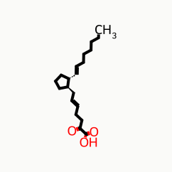 CCCCCCC=C[C@H]1CCC[C@@H]1CC=CCCC(=O)C(=O)O